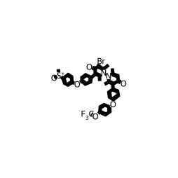 Cc1cc(=O)c(-c2ccc(Oc3ccc(OC(F)(F)F)cc3)cc2)c(C)n1-n1c(C)c(Br)c(=O)c(-c2ccc(Oc3ccc([S+](C)[O-])cc3)cc2)c1C